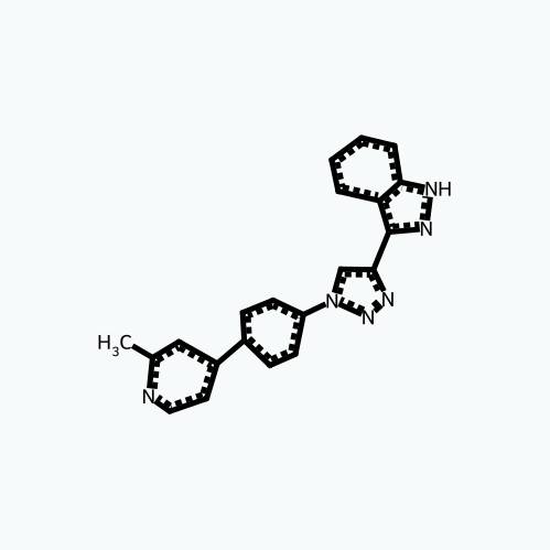 Cc1cc(-c2ccc(-n3cc(-c4n[nH]c5ccccc45)nn3)cc2)ccn1